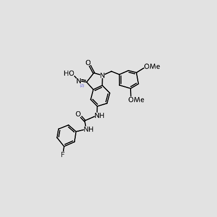 COc1cc(CN2C(=O)/C(=N\O)c3cc(NC(=O)Nc4cccc(F)c4)ccc32)cc(OC)c1